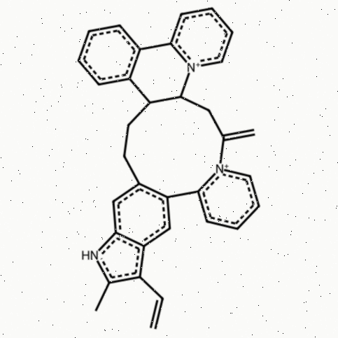 C=Cc1c(C)[nH]c2cc3c(cc12)-c1cccc[n+]1C(=C)CC1C(CC3)c2ccccc2-c2cccc[n+]21